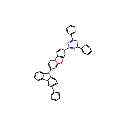 c1ccc(C2=NC(c3ccc4c(c3)oc3cc(-n5c6ccccc6c6cc(-c7ccccc7)ccc65)ccc34)=NC(c3ccccc3)C2)cc1